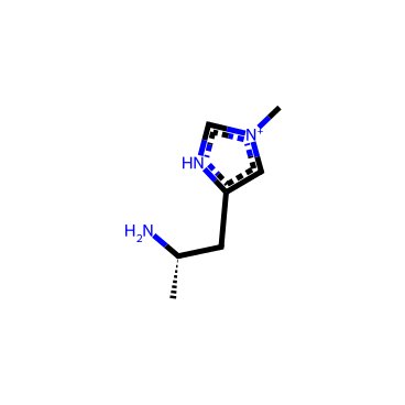 C[C@H](N)Cc1c[n+](C)c[nH]1